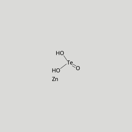 O=[Te](O)O.[Zn]